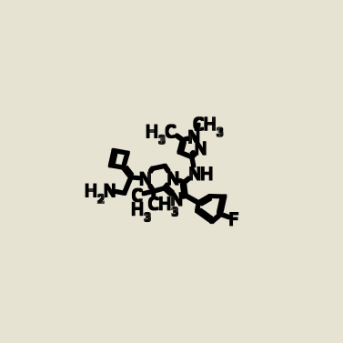 Cc1cc(Nc2c(-c3ccc(F)cc3)nc3n2CCN(/C(CN)=C2/C=CC2)C3(C)C)nn1C